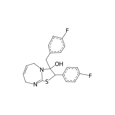 OC1(Cc2ccc(F)cc2)C(c2ccc(F)cc2)SC2=NCC=CCN21